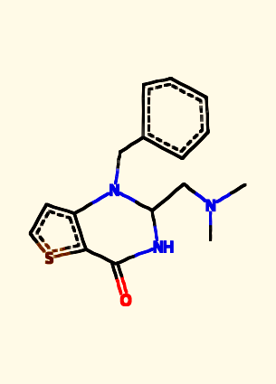 CN(C)CC1NC(=O)c2sccc2N1Cc1ccccc1